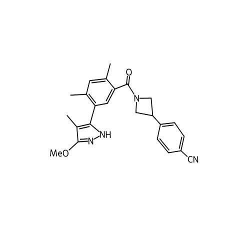 COc1n[nH]c(-c2cc(C(=O)N3CC(c4ccc(C#N)cc4)C3)c(C)cc2C)c1C